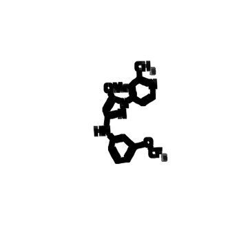 COc1cc(Nc2cccc(OC(F)(F)F)c2)nn1-c1ccnc(C)c1